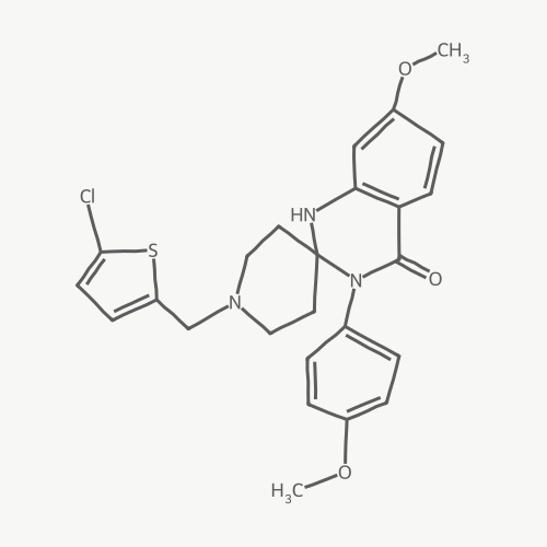 COc1ccc(N2C(=O)c3ccc(OC)cc3NC23CCN(Cc2ccc(Cl)s2)CC3)cc1